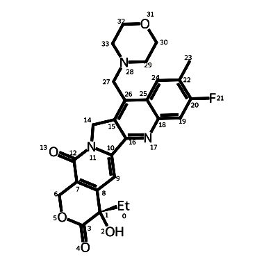 CC[C@@]1(O)C(=O)OCc2c1cc1n(c2=O)Cc2c-1nc1cc(F)c(C)cc1c2CN1CCOCC1